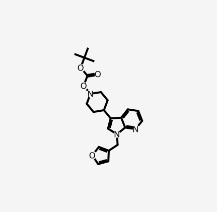 CC(C)(C)OC(=O)ON1CCC(c2cn(Cc3ccoc3)c3ncccc23)CC1